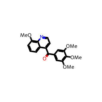 COc1cc(C(=O)c2ccnc3c(OC)cccc23)cc(OC)c1OC